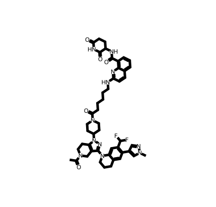 CC(=O)N1CCc2c(c(N3CCCc4cc(-c5cnn(C)c5)c(C(F)F)cc43)nn2C2CCN(C(=O)CCCCCNc3ccc4cccc(C(=O)NC5CCC(=O)NC5=O)c4n3)CC2)C1